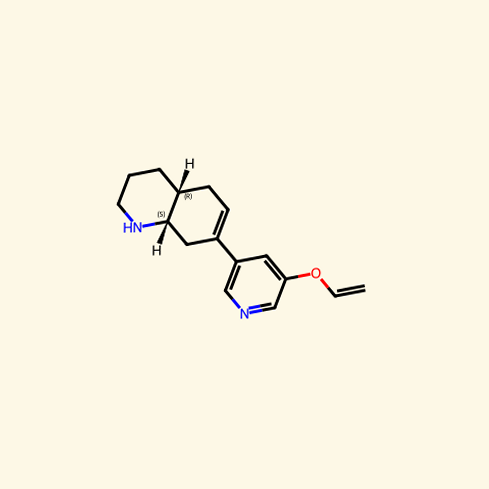 C=COc1cncc(C2=CC[C@H]3CCCN[C@H]3C2)c1